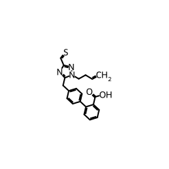 C=CCCn1nc(C=S)nc1Cc1ccc(-c2ccccc2C(=O)O)cc1